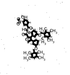 Cc1cc(C)c(C)c(COc2cccc(-c3coc(C(=O)NNC(=O)c4ccc(O)c([N+](=O)[O-])c4)c3-c3cccc(OCc4c(C)c(C)cc(C)c4C)c3)c2)c1C